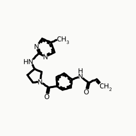 C=CC(=O)Nc1ccc(C(=O)N2CCC(Nc3ncc(C)cn3)C2)cc1